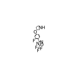 Fc1cc(OC2CCNC2)ccc1-c1noc(C(F)(F)F)n1